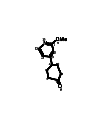 COc1cc(C2CCC(=O)CC2)ccn1